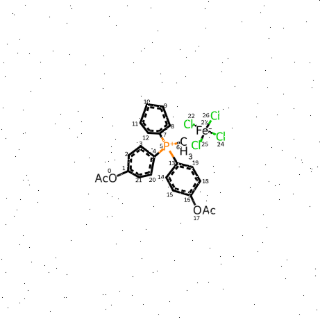 CC(=O)Oc1ccc([P+](C)(c2ccccc2)c2ccc(OC(C)=O)cc2)cc1.[Cl][Fe-]([Cl])([Cl])[Cl]